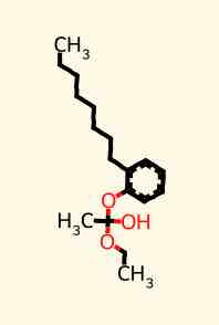 CCCCCCCCc1ccccc1OC(C)(O)OCC